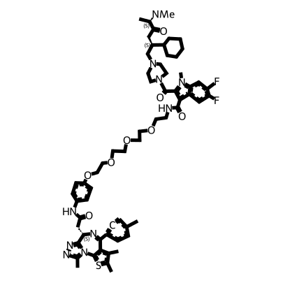 CN[C@@H](C)C(=O)C[C@H](CN1CCN(C(=O)c2c(C(=O)NCCOCCOCCOCCOc3ccc(NC(=O)C[C@@H]4N=C(c5ccc(C)cc5)c5c(sc(C)c5C)-n5c(C)nnc54)cc3)c3cc(F)c(F)cc3n2C)CC1)C1CCCCC1